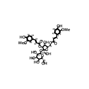 COc1cc(/C=C/C(=O)OC[C@H]2O[C@@](CO)(O[C@H]3O[C@H](CO)[C@@H](O)[C@H](O)[C@H]3O)[C@@H](OC(=O)/C=C/c3ccc(O)c(OC)c3)[C@@H]2O)ccc1O